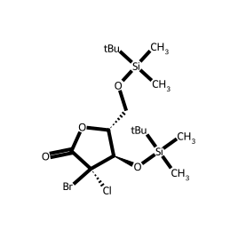 CC(C)(C)[Si](C)(C)OC[C@H]1OC(=O)[C@](Cl)(Br)[C@@H]1O[Si](C)(C)C(C)(C)C